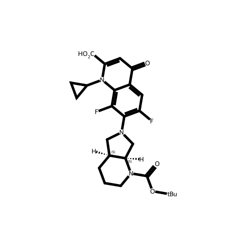 CC(C)(C)OC(=O)N1CCC[C@H]2CN(c3c(F)cc4c(=O)cc(C(=O)O)n(C5CC5)c4c3F)C[C@H]21